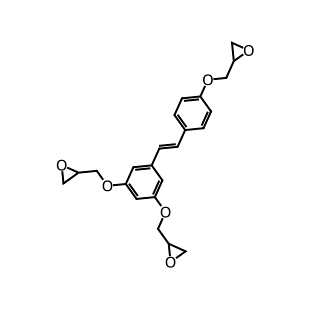 C(=C\c1cc(OCC2CO2)cc(OCC2CO2)c1)/c1ccc(OCC2CO2)cc1